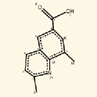 Cc1ccc2cc(C(=O)O)cc(C)c2n1